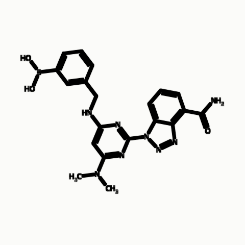 CN(C)c1cc(NCc2cccc(B(O)O)c2)nc(-n2nnc3c(C(N)=O)cccc32)n1